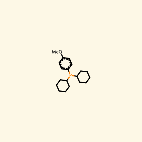 COc1ccc(P(C2CCCCC2)C2CCCCC2)cc1